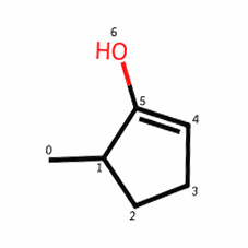 CC1CCC=C1O